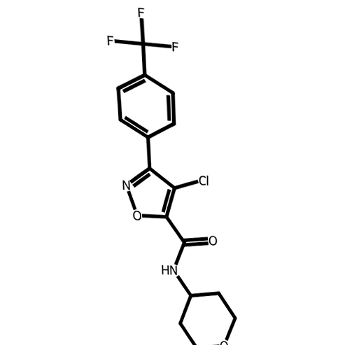 O=C(NC1CCOCC1)c1onc(-c2ccc(C(F)(F)F)cc2)c1Cl